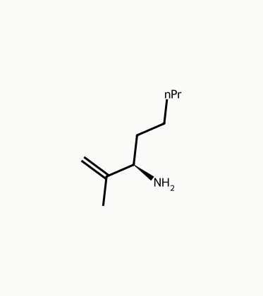 C=C(C)[C@H](N)CCCCC